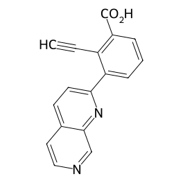 C#Cc1c(C(=O)O)cccc1-c1ccc2ccncc2n1